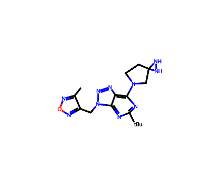 Cc1nonc1Cn1nnc2c(N3CCC4(C3)NN4)nc(C(C)(C)C)nc21